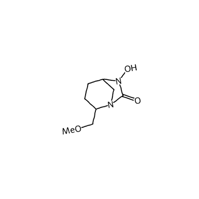 COCC1CCC2CN1C(=O)N2O